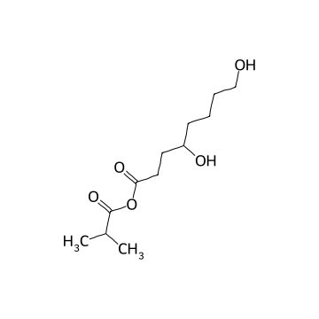 CC(C)C(=O)OC(=O)CCC(O)CCCCO